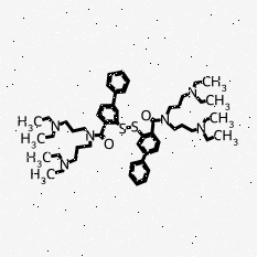 CCN(CC)CCCN(CCCN(CC)CC)C(=O)c1ccc(-c2ccccc2)cc1SSc1cc(-c2ccccc2)ccc1C(=O)N(CCCN(CC)CC)CCCN(CC)CC